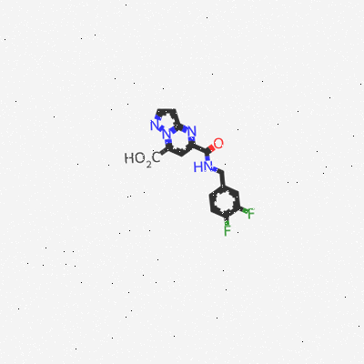 O=C(NCc1ccc(F)c(F)c1)c1cc(C(=O)O)n2nccc2n1